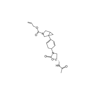 C=CCOC(=O)N1CC2CC2(C2=CCC(N3C[C@H](CNC(C)=O)OC3=O)C=C2)C1